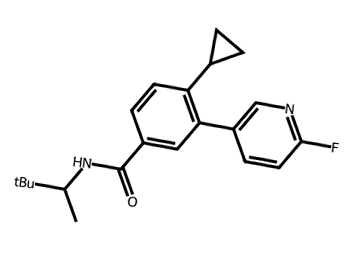 CC(NC(=O)c1ccc(C2CC2)c(-c2ccc(F)nc2)c1)C(C)(C)C